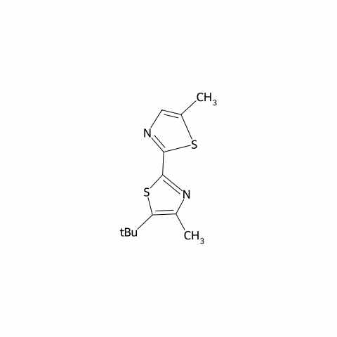 Cc1cnc(-c2nc(C)c(C(C)(C)C)s2)s1